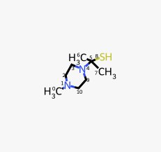 CN1CCN(C(C)(C)S)CC1